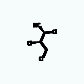 N#C[C@H](Cl)[C@@H](Cl)CCl